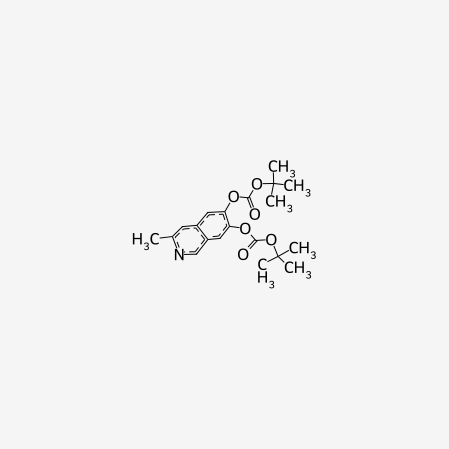 Cc1cc2cc(OC(=O)OC(C)(C)C)c(OC(=O)OC(C)(C)C)cc2cn1